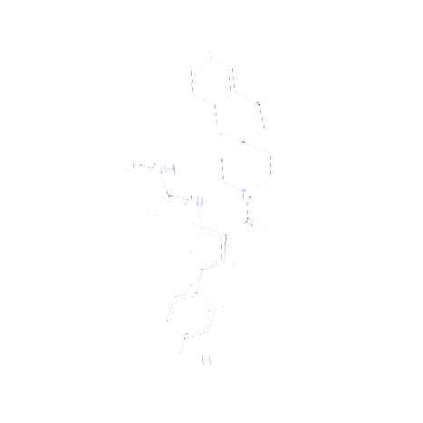 CCNC(=O)Nc1sc(-c2ccc(C(=O)O)cc2)cc1C(=O)N1CCC2(CC1)CC(=O)c1ccccc1S2